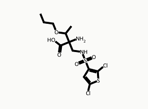 CCCOC(C)C(N)(CNS(=O)(=O)c1cc(Cl)sc1Cl)C(=O)O